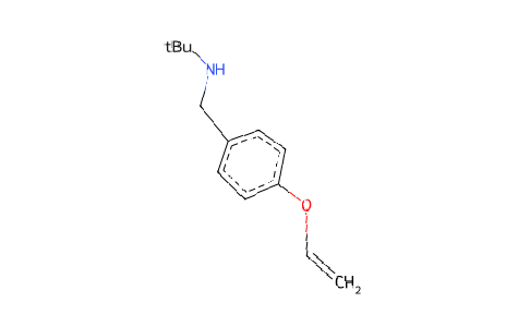 C=COc1ccc(CNC(C)(C)C)cc1